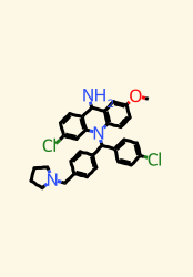 COc1ccc2c(c1)C(N)c1ccc(Cl)cc1N2C(c1ccc(Cl)cc1)c1ccc(CN2CCCC2)cc1